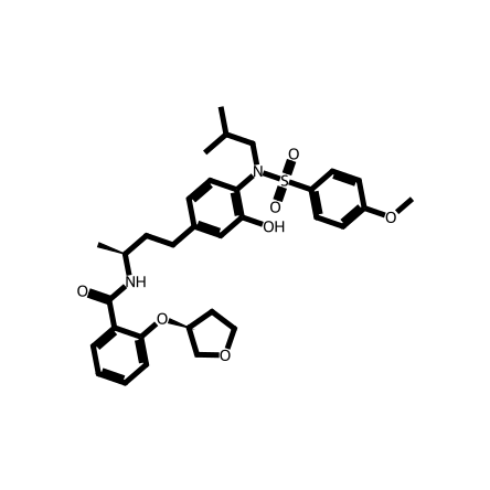 COc1ccc(S(=O)(=O)N(CC(C)C)c2ccc(CC[C@H](C)NC(=O)c3ccccc3O[C@H]3CCOC3)cc2O)cc1